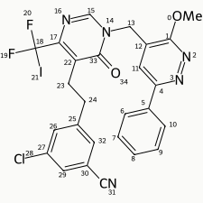 COc1nnc(-c2ccccc2)cc1Cn1cnc(C(F)(F)I)c(CCc2cc(Cl)cc(C#N)c2)c1=O